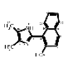 Cc1nc(-c2c(O)ccc3ccccc23)[nH]c1C